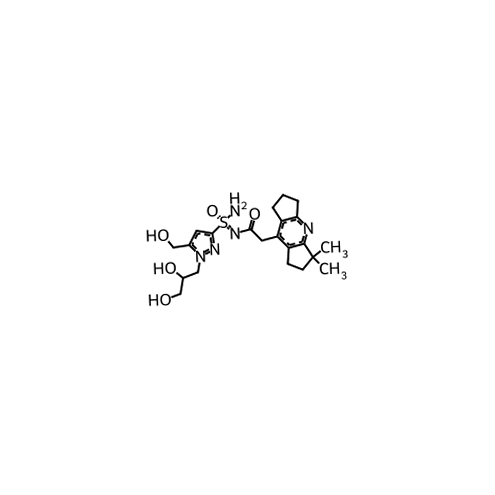 CC1(C)CCc2c1nc1c(c2CC(=O)N=S(N)(=O)c2cc(CO)n(CC(O)CO)n2)CCC1